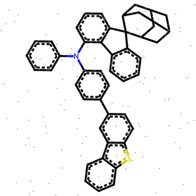 c1ccc(N(c2ccc(-c3ccc4sc5ccccc5c4c3)cc2)c2cccc3c2-c2ccccc2C32C3CC4CC(C3)CC2C4)cc1